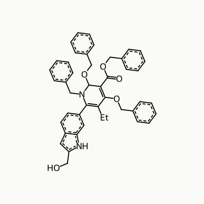 CCC1=C(c2ccc3cc(CO)[nH]c3c2)N(Cc2ccccc2)C(OCc2ccccc2)C(C(=O)OCc2ccccc2)=C1OCc1ccccc1